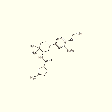 CNc1nc(C2CCC(C)(C)C(NC(=O)C3CCN(C)C3)C2)ccc1NCC(C)(C)C